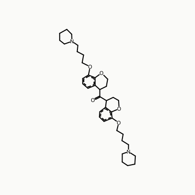 O=C(C1CCOc2c(OCCCCN3CCCCC3)cccc21)C1CCOc2c(OCCCCN3CCCCC3)cccc21